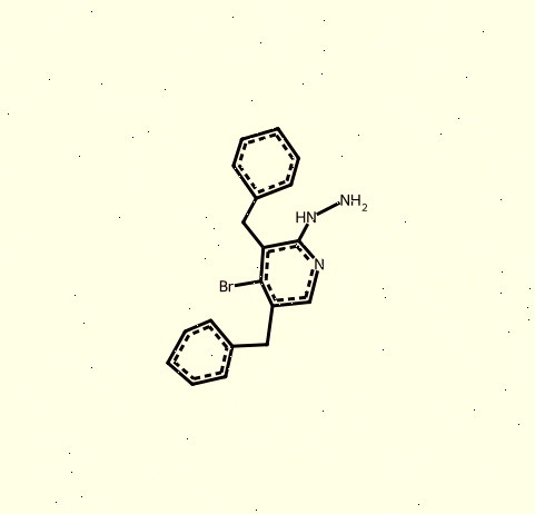 NNc1ncc(Cc2ccccc2)c(Br)c1Cc1ccccc1